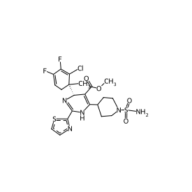 COC(=O)C1=C(C2CCN(S(N)(=O)=O)CC2)NC(c2nccs2)=N[C@@H]1C1(C)CC=C(F)C(F)=C1Cl